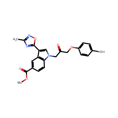 CCCCCCCCc1ccc(OCC(=O)Cn2cc(-c3nc(C)no3)c3cc(C(=O)OC(C)(C)C)ccc32)cc1